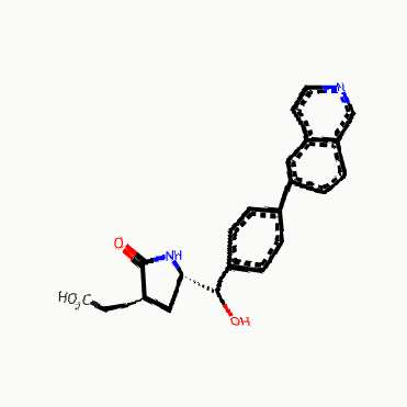 O=C(O)C[C@@H]1C[C@@H](C(O)c2ccc(-c3ccc4cnccc4c3)cc2)NC1=O